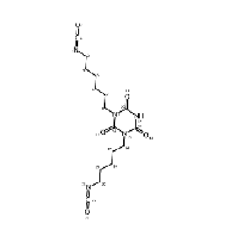 O=C=NCCCCCCn1c(=O)[nH]c(=O)n(CCCCCN=C=O)c1=O